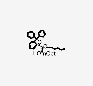 C=CCCCCO[C@H](COC(c1ccccc1)(c1ccccc1)c1ccccc1)C(O)CCCCCCCC